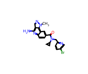 Cn1ncc2c(N)nc3ccc(C(=O)N(Cc4ccc(Br)cn4)C4CC4)cc3c21